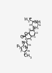 Cc1cc(F)c2nc(-c3cc4ccc(N5CCN[C@H](C)C5)cc4oc3=O)cn2c1